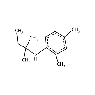 CCC(C)(C)Pc1ccc(C)cc1C